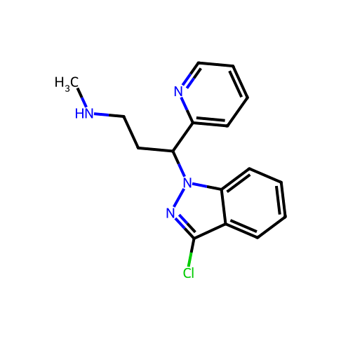 CNCCC(c1ccccn1)n1nc(Cl)c2ccccc21